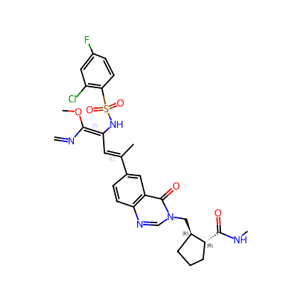 C=N/C(OC)=C(\C=C(/C)c1ccc2ncn(C[C@@H]3CCC[C@H]3C(=O)NC)c(=O)c2c1)NS(=O)(=O)c1ccc(F)cc1Cl